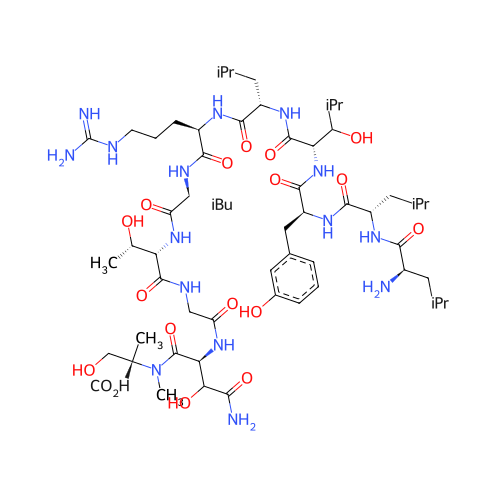 CC[C@H](C)[C@H](NC(=O)[C@@H](CCCNC(=N)N)NC(=O)[C@H](CC(C)C)NC(=O)[C@@H](NC(=O)[C@H](Cc1cccc(O)c1)NC(=O)[C@H](CC(C)C)NC(=O)[C@H](N)CC(C)C)C(O)C(C)C)C(=O)N[C@H](C(=O)NCC(=O)N[C@H](C(=O)N(C)[C@@](C)(CO)C(=O)O)C(O)C(N)=O)[C@H](C)O